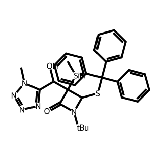 Cn1nnnc1C(O)C1([SiH](C)C)C(=O)N(C(C)(C)C)C1SC(c1ccccc1)(c1ccccc1)c1ccccc1